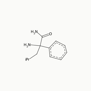 CC(C)CC(N)(C(N)=O)c1ccccc1